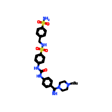 CCCCN1CCN(C(=N)c2ccc(NC(=O)Nc3ccc(S(=O)(=O)NCc4ccc(S(N)(=O)=O)cc4)cc3)cc2)CC1